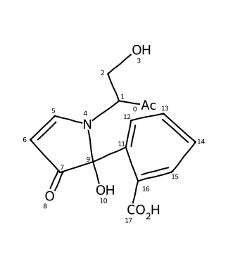 CC(=O)C(CO)N1C=CC(=O)C1(O)c1ccccc1C(=O)O